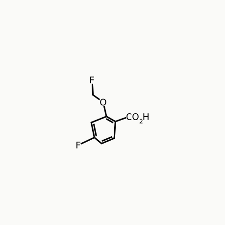 O=C(O)c1ccc(F)cc1OCF